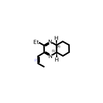 C/C=C\C1=N[C@H]2CCCC[C@H]2N=C1CC